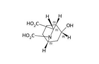 O=C(O)[C@@H]1[C@@H]2CC[C@@H](C[C@H]2O)N1C(=O)O